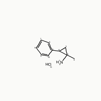 CC1(N)CC1c1ccccc1.Cl